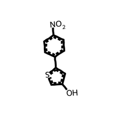 O=[N+]([O-])c1ccc(-c2cc(O)cs2)cc1